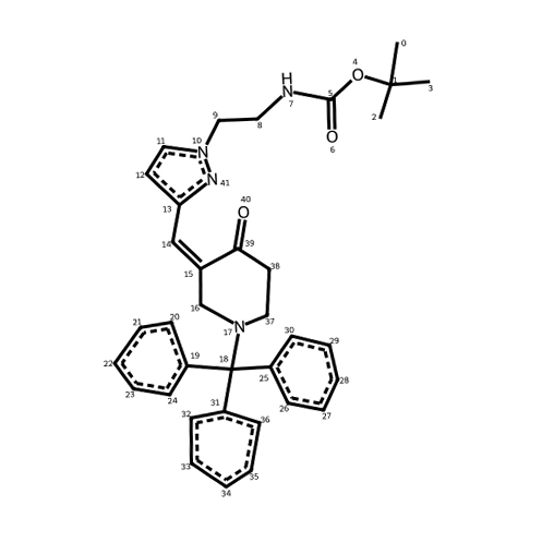 CC(C)(C)OC(=O)NCCn1ccc(C=C2CN(C(c3ccccc3)(c3ccccc3)c3ccccc3)CCC2=O)n1